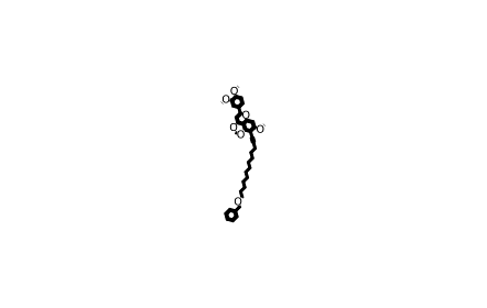 COc1ccc(-c2cc(=O)c3c(OC)c(C#CCCCCCCCCCCCOCc4ccccc4)c(OC)cc3o2)cc1OC